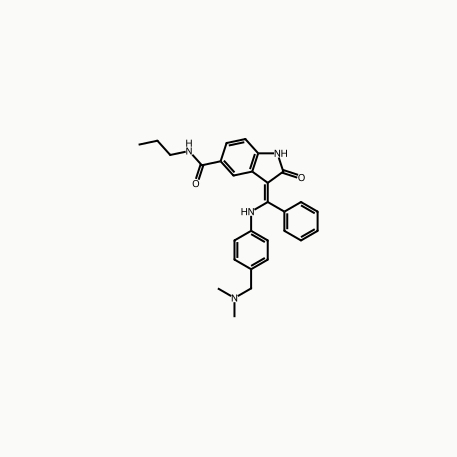 CCCNC(=O)c1ccc2c(c1)C(=C(Nc1ccc(CN(C)C)cc1)c1ccccc1)C(=O)N2